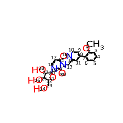 COc1ccccc1-c1ccnc(Cn2c(=O)ccn(C3OC(CO)C(O)C3O)c2=O)c1